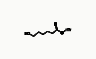 CCCOC(=O)CCCCCO